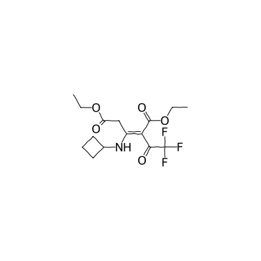 CCOC(=O)CC(NC1CCC1)=C(C(=O)OCC)C(=O)C(F)(F)F